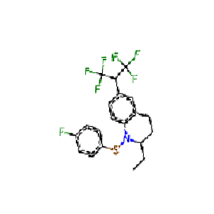 CCC1CCc2cc(C(C(F)(F)F)C(F)(F)F)ccc2N1Sc1ccc(F)cc1